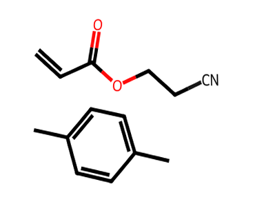 C=CC(=O)OCCC#N.Cc1ccc(C)cc1